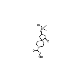 CC(C)(C)OC(=O)N1CCC2(CC1)CC(O[Si](C)(C)C(C)(C)C)CC2=O